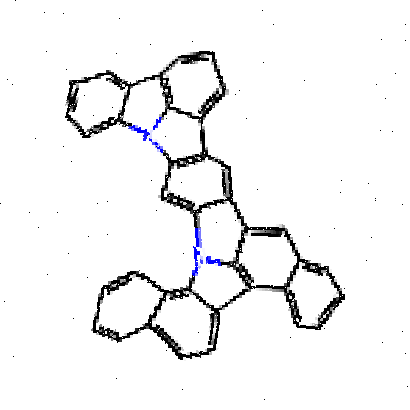 c1ccc2c(c1)cc1c3cc4c5cccc6c7ccccc7n(c4cc3n3c4c7ccccc7ccc4c2c13)c65